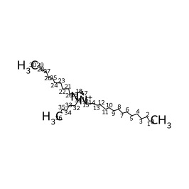 CCCCCCCCCCCCCCCC[n+]1ccn(CCCCCCCCCCC)c1CCCCC